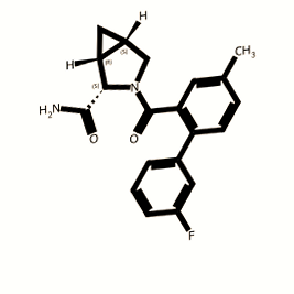 Cc1ccc(-c2cccc(F)c2)c(C(=O)N2C[C@H]3C[C@H]3[C@H]2C(N)=O)c1